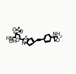 C[C@@](CCc1nc2ccc(C#Cc3ccc(C4(N)COC4)cc3)cc2s1)(C(=O)NO)S(C)(=O)=O